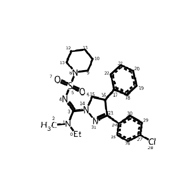 CCN(C)C(=NS(=O)(=O)N1CCCCC1)N1CC(c2ccccc2)C(c2ccc(Cl)cc2)=N1